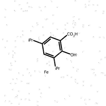 CC(C)c1cc(C(=O)O)c(O)c(C(C)C)c1.[Fe]